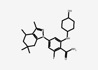 Cc1nn(-c2cc(F)c(C(N)=O)c(NC3CCC(O)CC3)c2)c2c1C(C)CC(C)(C)C2